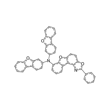 c1ccc(-c2nc3c(ccc4oc5c(N(c6ccc7c(c6)oc6ccccc67)c6ccc7c(c6)oc6ccccc67)cccc5c43)o2)cc1